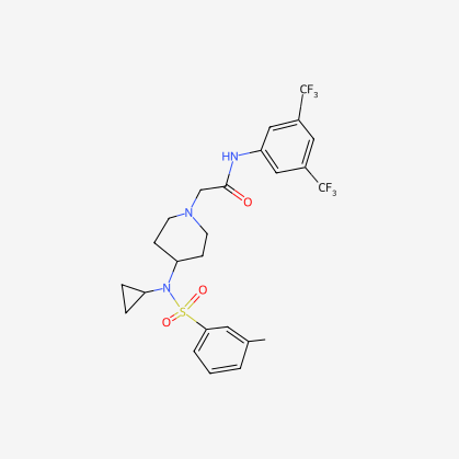 Cc1cccc(S(=O)(=O)N(C2CC2)C2CCN(CC(=O)Nc3cc(C(F)(F)F)cc(C(F)(F)F)c3)CC2)c1